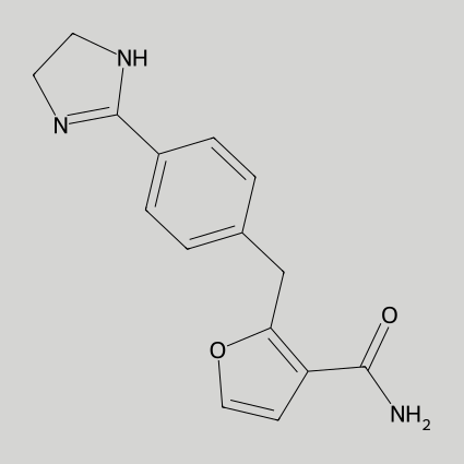 NC(=O)c1ccoc1Cc1ccc(C2=NCCN2)cc1